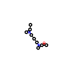 c1ccc(-c2ccc3c(c2)c2ccccc2n3-c2ccc(-c3ccc(-c4ccc(-n5c6ccccc6c6cc7c(cc65)oc5ccccc57)cc4)cc3)cc2)cc1